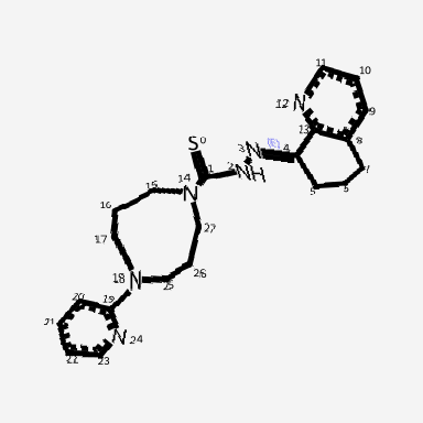 S=C(N/N=C1\CCCc2cccnc21)N1CCCN(c2ccccn2)CCC1